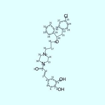 O=C(C=Cc1ccc(O)c(O)c1)N1CCN(CCCOC(Cc2ccc(Cl)cc2)c2ccccc2)CC1